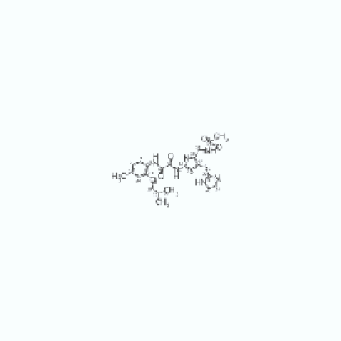 Cc1ccc(NC(=O)C(=O)Nc2nc(CNS(C)(=O)=O)c(Sc3ncc[nH]3)s2)c(OCC(C)C)c1